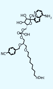 CCCCCCCCCCCCCCCCCCOC[C@H](COP(=O)(O)OC[C@H]1O[C@@](C#N)(c2ccc3c(N)ccnn23)[C@H](O)[C@@H]1O)OCc1ccc(C#N)cc1